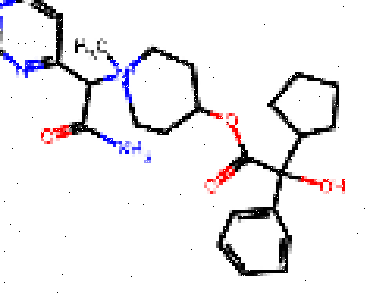 C[N+]1(C(C(N)=O)c2ccncn2)CCC(OC(=O)C(O)(c2ccccc2)C2CCCC2)CC1